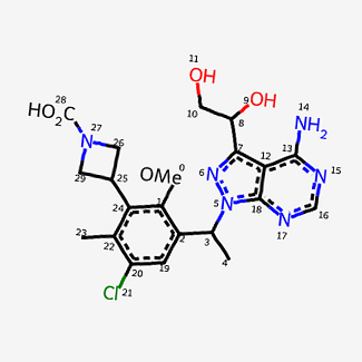 COc1c(C(C)n2nc(C(O)CO)c3c(N)ncnc32)cc(Cl)c(C)c1C1CN(C(=O)O)C1